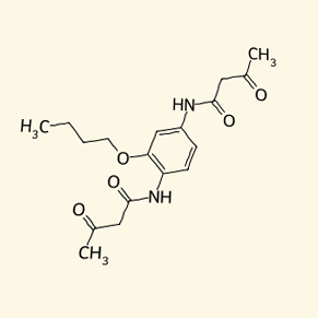 CCCCOc1cc(NC(=O)CC(C)=O)ccc1NC(=O)CC(C)=O